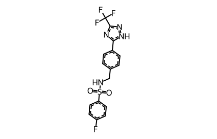 O=S(=O)(NCc1ccc(-c2nc(C(F)(F)F)n[nH]2)cc1)c1ccc(F)cc1